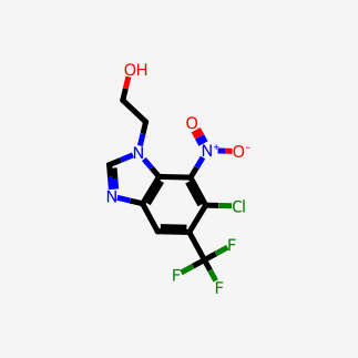 O=[N+]([O-])c1c(Cl)c(C(F)(F)F)cc2ncn(CCO)c12